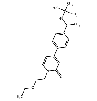 CCOCCn1ccc(-c2ccc(C(C)NC(C)(C)C)cc2)cc1=O